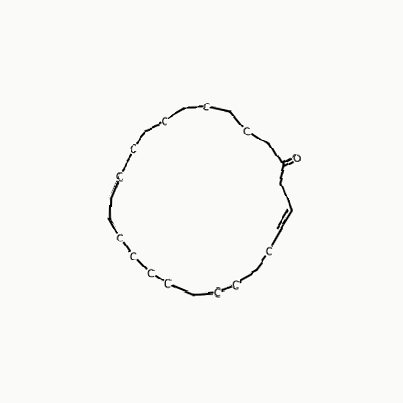 O=C1CC=CCCCCCCCCCCCCCCCCCCCC1